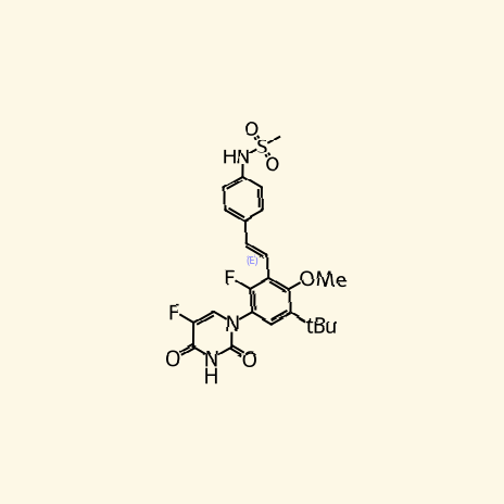 COc1c(C(C)(C)C)cc(-n2cc(F)c(=O)[nH]c2=O)c(F)c1/C=C/c1ccc(NS(C)(=O)=O)cc1